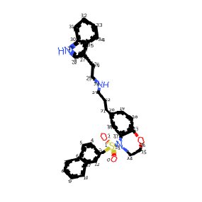 O=S(=O)(c1ccc2ccccc2c1)N1CCOc2ccc(CCCNCCc3c[nH]c4ccccc34)cc21